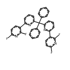 Fc1ccc(-c2cccc(C(c3ccccc3)(c3ccccc3)c3cccc(-c4ccc(F)nc4F)n3)n2)c(F)n1